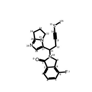 O=C1c2cccc(F)c2CN1C(CC#CSI)c1cnc2n1CCC2